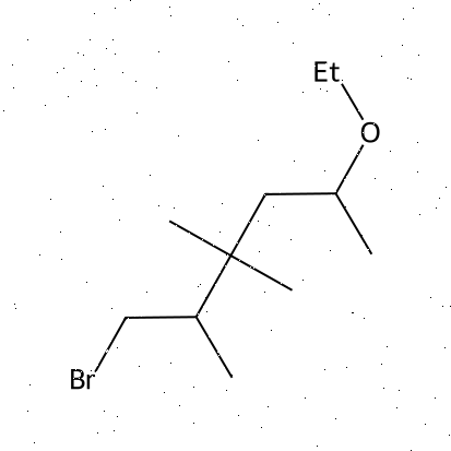 CCOC(C)CC(C)(C)C(C)CBr